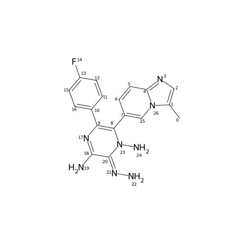 Cc1cnc2ccc(-c3c(-c4ccc(F)cc4)nc(N)/c(=N/N)n3N)cn12